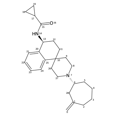 C=C1CCCC[C@@H](N2CCC3(CC[C@H](NC(=O)C4CC4)c4ccccc43)CC2)C1